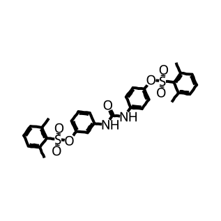 Cc1cccc(C)c1S(=O)(=O)Oc1ccc(NC(=O)Nc2cccc(OS(=O)(=O)c3c(C)cccc3C)c2)cc1